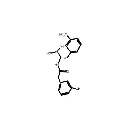 O=C(Cc1cccc(O)c1)N[C@@H](Cc1cccc(C(=O)O)c1)B(O)O